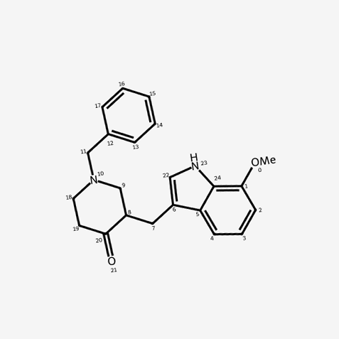 COc1cccc2c(CC3CN(Cc4ccccc4)CCC3=O)c[nH]c12